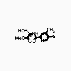 COC(=O)[C@H](CO)NC(=O)c1cc(C)c(Br)cn1